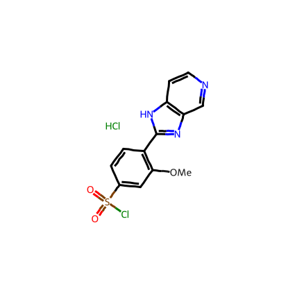 COc1cc(S(=O)(=O)Cl)ccc1-c1nc2cnccc2[nH]1.Cl